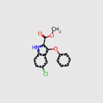 COC(=O)c1[nH]c2ccc(Cl)cc2c1Oc1ccccc1